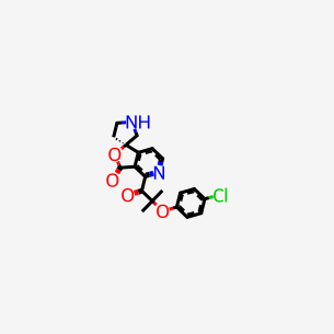 CC(C)(Oc1ccc(Cl)cc1)C(=O)c1nccc2c1C(=O)O[C@]21CCNC1